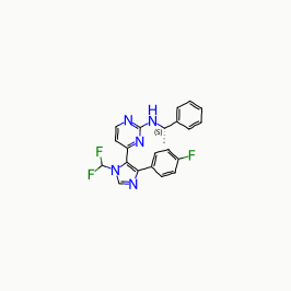 C[C@H](Nc1nccc(-c2c(-c3ccc(F)cc3)ncn2C(F)F)n1)c1ccccc1